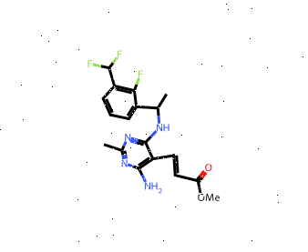 COC(=O)C=Cc1c(N)nc(C)nc1NC(C)c1cccc(C(F)F)c1F